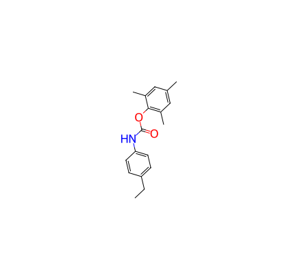 CCc1ccc(NC(=O)Oc2c(C)cc(C)cc2C)cc1